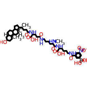 CNC(CCCCNC(=O)CCC(NC(=O)CCC(C)C1CCC2C3CC[C@H]4C[C@@H](O)CC[C@@]4(C)C3CC[C@@]12C)C(=O)O)C(=O)NC(CCCCNC(=O)c1cc(B(O)O)cc([N+](=O)[O-])c1)C(=O)O